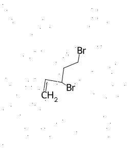 C=CC(Br)CCBr